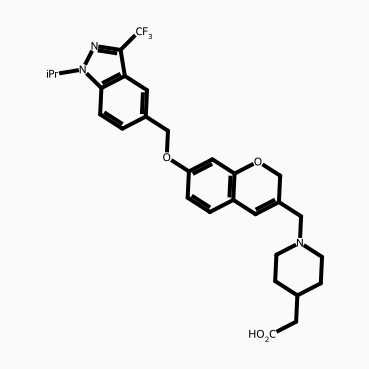 CC(C)n1nc(C(F)(F)F)c2cc(COc3ccc4c(c3)OCC(CN3CCC(CC(=O)O)CC3)=C4)ccc21